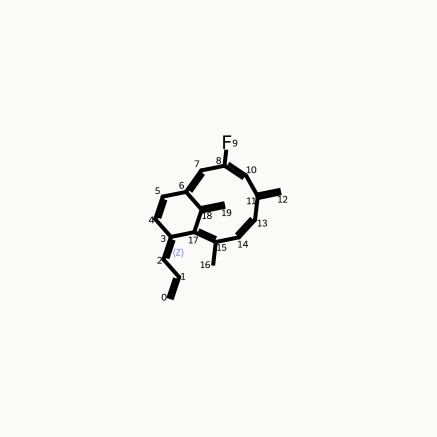 C=C/C=c1/ccc2cc(F)cc(=C)ccc(C)c1c2=C